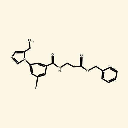 CCc1cncn1-c1cc(F)cc(C(=O)NCCC(=O)OCc2ccccc2)c1